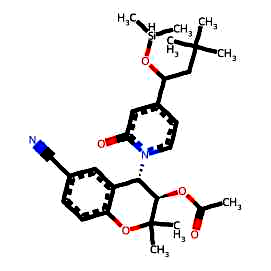 CC(=O)O[C@@H]1[C@@H](n2ccc(C(CC(C)(C)C)O[SiH](C)C)cc2=O)c2cc(C#N)ccc2OC1(C)C